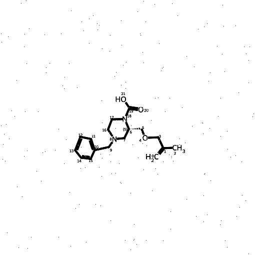 C=C(C)COC[C@@H]1CN(Cc2ccccc2)CCN1C(=O)O